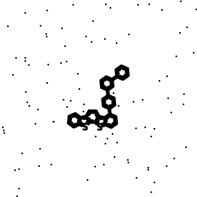 c1ccc(-c2cccc(-c3ccc(-c4cccc5sc6c(ccc7c8ccccc8sc76)c45)cc3)c2)cc1